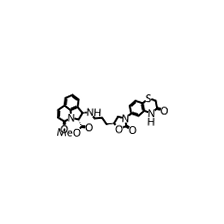 COC(=O)[C@H]1[C@H](NCCC[C@H]2CN(c3ccc4c(c3)NC(=O)CS4)C(=O)O2)c2cccc3ccc(=O)n1c23